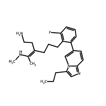 CCCc1cnc2ccc(-c3cccc(F)c3CCC/C(CCN)=C(\C)NC)cn12